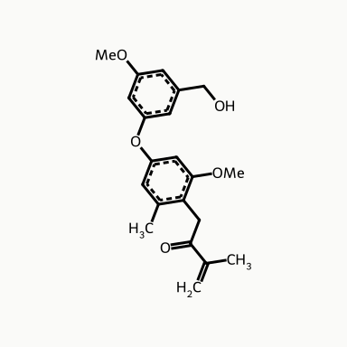 C=C(C)C(=O)Cc1c(C)cc(Oc2cc(CO)cc(OC)c2)cc1OC